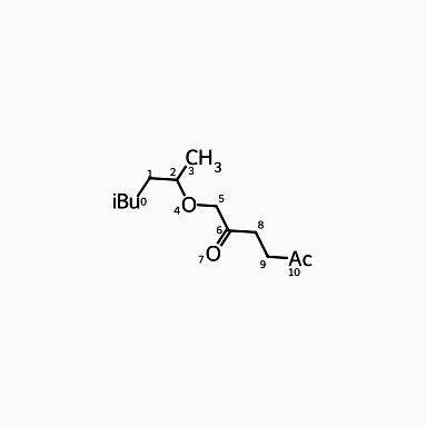 CCC(C)CC(C)OCC(=O)CCC(C)=O